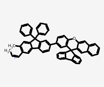 C/C=C\c1cc2c(cc1C)C(c1ccccc1)(c1ccccc1)c1cc(-c3ccc4c(c3)C3(c5cc6ccccc6cc5O4)c4ccccc4-c4ccccc43)ccc1-2